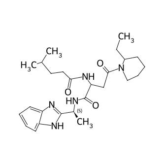 CCC1CCCCN1C(=O)CC(NC(=O)CCC(C)C)C(=O)N[C@@H](C)c1nc2ccccc2[nH]1